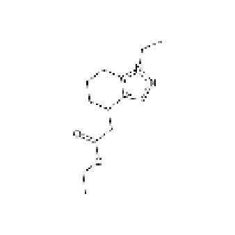 CCOC(=O)CC1CCCc2c1cnn2CC